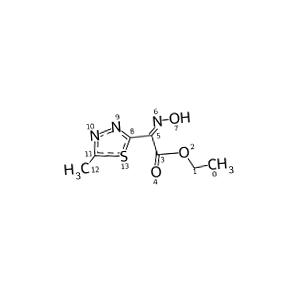 CCOC(=O)C(=NO)c1nnc(C)s1